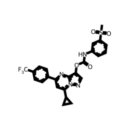 CS(=O)(=O)c1cccc(NC(=O)Oc2cnn3c(C4CC4)cc(-c4ccc(C(F)(F)F)cc4)nc23)c1